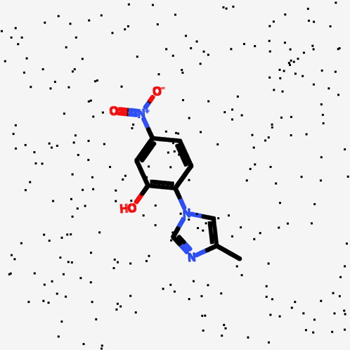 Cc1cn(-c2ccc([N+](=O)[O-])cc2O)cn1